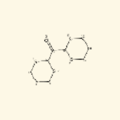 O=C(C1SCCCS1)C1SCCCS1